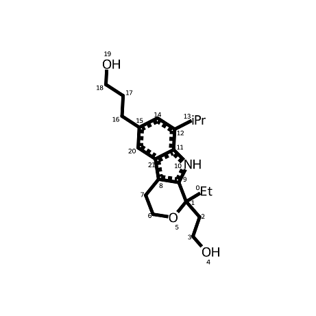 CCC1(CCO)OCCc2c1[nH]c1c(C(C)C)cc(CCCO)cc21